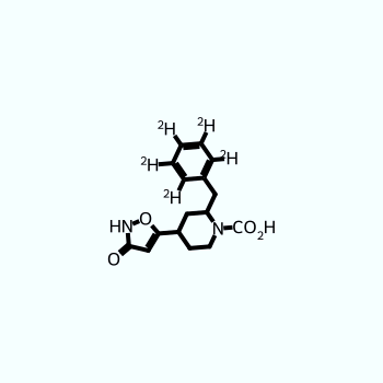 [2H]c1c([2H])c([2H])c(CC2CC(c3cc(=O)[nH]o3)CCN2C(=O)O)c([2H])c1[2H]